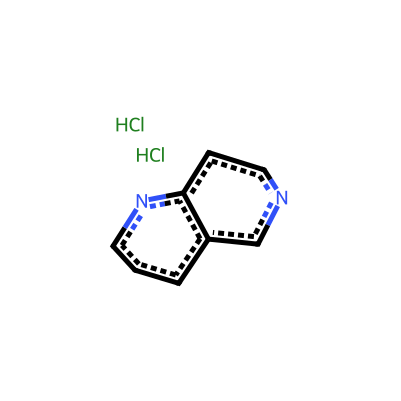 Cl.Cl.c1cnc2ccncc2c1